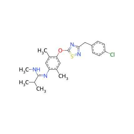 CNC(=Nc1cc(C)c(Oc2nc(Cc3ccc(Cl)cc3)ns2)cc1C)C(C)C